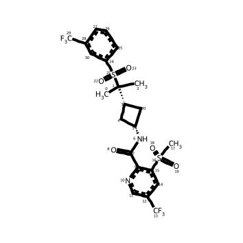 CC(C)([C@H]1C[C@@H](NC(=O)c2ncc(C(F)(F)F)cc2S(C)(=O)=O)C1)S(=O)(=O)c1cccc(C(F)(F)F)c1